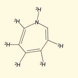 [2H]C1=CN([2H])C([2H])=C([2H])C([2H])=C1[2H]